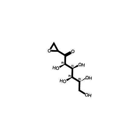 O=C(C1CO1)[C@H](O)[C@@H](O)[C@H](O)[C@H](O)CO